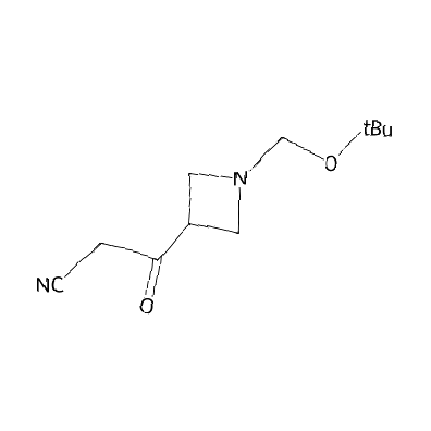 CC(C)(C)OCN1CC(C(=O)CC#N)C1